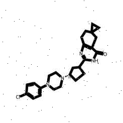 O=c1[nH]c(C2CC[C@H](N3CCN(c4ccc(Cl)cc4)CC3)C2)nc2c1CC1(CC2)CC1